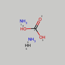 N.N.O=C(O)O.[HH]